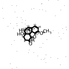 COC1=C2O[C@H]3C(=O)CC[C@@]4(O)[C@H]5CC(C=C1)C2[C@@]34CCN5